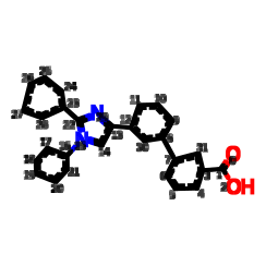 O=C(O)c1cccc(-c2cccc(-c3cn(-c4ccccc4)c(-c4ccccc4)n3)c2)c1